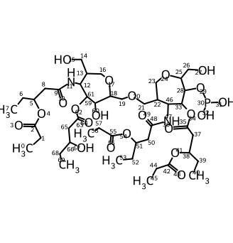 CCC(=O)OC(CC)CC(=O)NC1C(CO)COC(COCC2COC(CO)C(OP(O)O)C(OC(=O)CC(CC)OC(=O)CC)C2NC(=O)CC(CC)OC(=O)CC)C(O)C1OC(=O)CC(O)CC